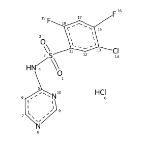 Cl.O=S(=O)(Nc1ccncn1)c1cc(Cl)c(F)cc1F